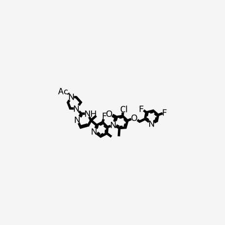 CC(=O)N1CCN(C2=NC=CC(C)(c3ncc(C)c(-n4c(C)cc(OCc5ncc(F)cc5F)c(Cl)c4=O)c3F)N2)CC1